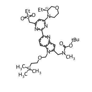 CC[C@H]1COCCN1c1cc(CS(=O)(=O)CC)nc(-c2ccc3c(cc(CN(C)C(=O)OC(C)(C)C)n3COCC[Si](C)(C)C)n2)n1